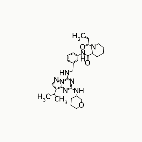 C=CC(=O)N1CCCCC1C(=O)Nc1cccc(CNc2nc(N[C@H]3CCCOC3)nc3c(C(C)C)cnn23)c1